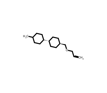 C=CCOC[C@H]1CC[C@H](C2CCC(C)CC2)CC1